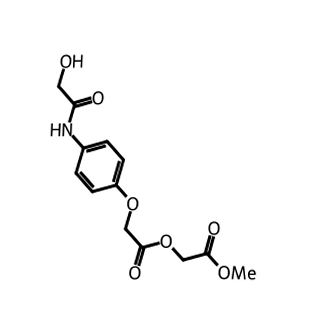 COC(=O)COC(=O)COc1ccc(NC(=O)CO)cc1